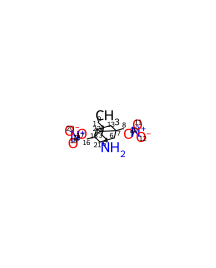 CCC12CC3(N)CC(CO[N+](=O)[O-])(C1)CC(CO[N+](=O)[O-])(C3)C2